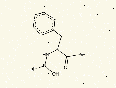 CCCN(O)NC(Cc1ccccc1)C(=O)S